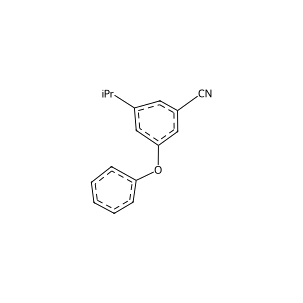 CC(C)c1cc(C#N)cc(Oc2ccccc2)c1